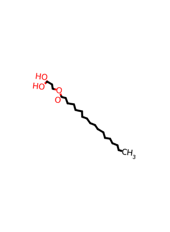 CCCCCCCCCCCCCCCCCC(=O)OCCC(O)O